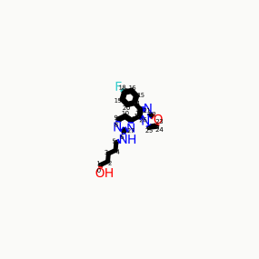 OCCCCCNc1nccc(-c2c(-c3ccc(F)cc3)nc3occn23)n1